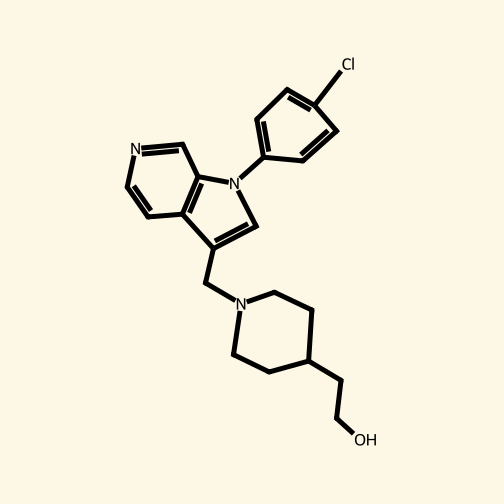 OCCC1CCN(Cc2cn(-c3ccc(Cl)cc3)c3cnccc23)CC1